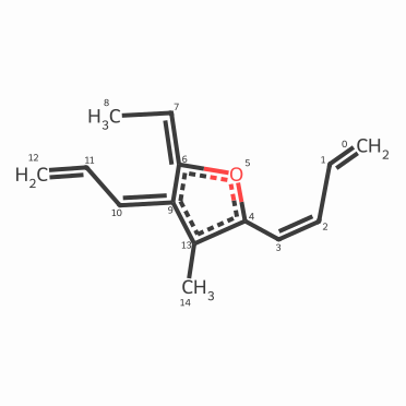 C=C/C=C\c1oc(=C/C)/c(=C\C=C)c1C